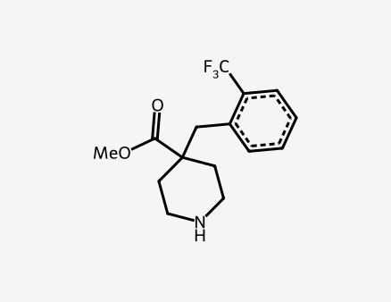 COC(=O)C1(Cc2ccccc2C(F)(F)F)CCNCC1